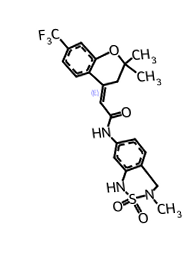 CN1Cc2ccc(NC(=O)/C=C3\CC(C)(C)Oc4cc(C(F)(F)F)ccc43)cc2NS1(=O)=O